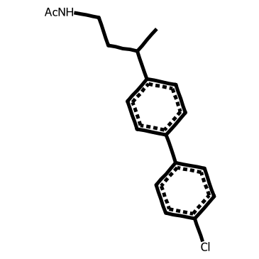 CC(=O)NCCC(C)c1ccc(-c2ccc(Cl)cc2)cc1